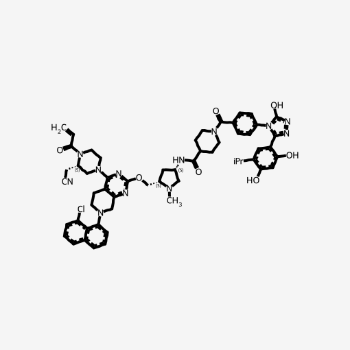 C=CC(=O)N1CCN(c2nc(OC[C@@H]3C[C@H](NC(=O)C4CCN(C(=O)c5ccc(-n6c(O)nnc6-c6cc(C(C)C)c(O)cc6O)cc5)CC4)CN3C)nc3c2CCN(c2cccc4cccc(Cl)c24)C3)C[C@@H]1CC#N